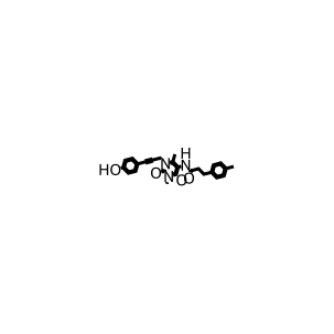 Cc1ccc(CCC(=O)Nc2c(C)n(CC#Cc3ccc(O)cc3)c(=O)n(C)c2=O)cc1